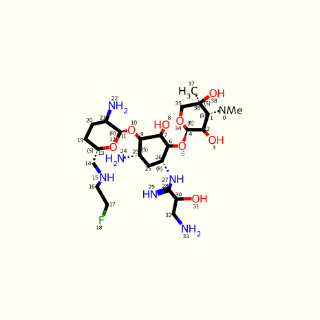 CN[C@@H]1C(O)[C@@H](OC2C(O)C(O[C@H]3O[C@H](CNCCF)CCC3N)[C@@H](N)C[C@H]2NC(=N)C(O)CN)OC[C@@]1(C)O